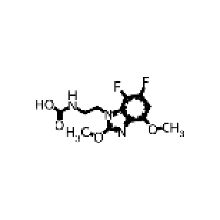 COc1cc(F)c(F)c2c1nc(OC)n2CCNC(=O)O